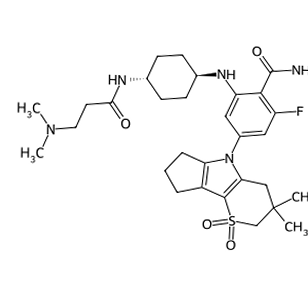 CN(C)CCC(=O)N[C@H]1CC[C@H](Nc2cc(-n3c4c(c5c3CC(C)(C)CS5(=O)=O)CCC4)cc(F)c2C(N)=O)CC1